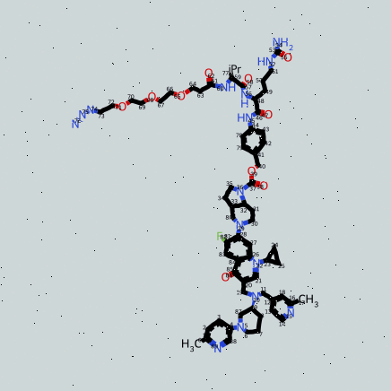 Cc1ccc(N2CCC[C@H](N(Cc3ccnc(C)c3)Cc3cn(C4CC4)c4cc(N5CCC6C(CCN6C(=O)OCc6ccc(NC(=O)C(CCCNC(N)=O)NC(=O)C(NC(=O)CCOCCOCCOCCN=[N+]=[N-])C(C)C)cc6)C5)c(F)cc4c3=O)C2)cn1